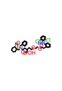 O=NSC1(CN(Cc2ccccc2)C(=O)CC(CCOCCOC(=O)Cc2ccccc2Nc2c(Cl)cccc2Cl)C(=O)O)CCCCC1